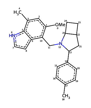 COc1cc(C)c2[nH]ccc2c1CN1C(c2ccc(C)cc2)CC2CCC21